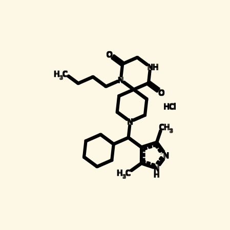 CCCCN1C(=O)CNC(=O)C12CCN(C(c1c(C)n[nH]c1C)C1CCCCC1)CC2.Cl